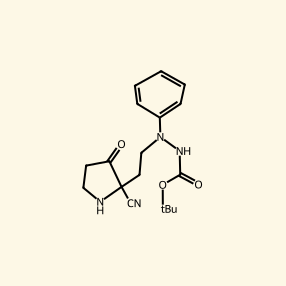 CC(C)(C)OC(=O)NN(CCC1(C#N)NCCC1=O)c1ccccc1